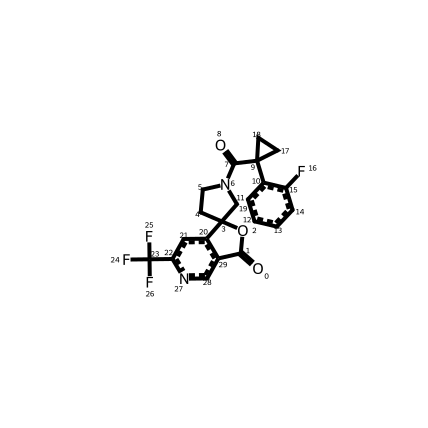 O=C1OC2(CCN(C(=O)C3(c4ccccc4F)CC3)C2)c2cc(C(F)(F)F)ncc21